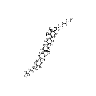 CCCCCCCCOc1ccc(-c2ccc(-c3ccc(C4=CCC(C5CCC(CCCCCCC)CC5)CC4)c(F)c3)cc2)c(F)c1F